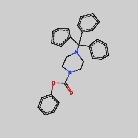 O=C(Oc1ccccc1)N1CCN(C(c2ccccc2)(c2ccccc2)c2ccccc2)CC1